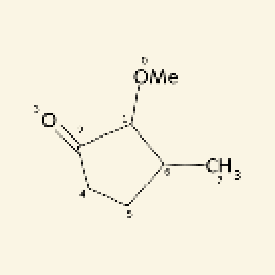 COC1C(=O)CCC1C